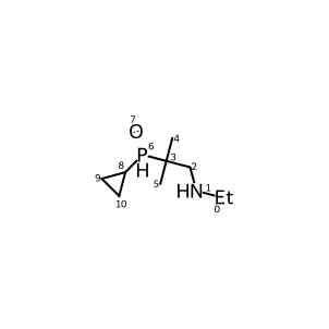 CCNCC(C)(C)[PH](=O)C1CC1